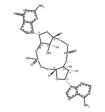 Nc1nc2c(ncn2[C@@H]2S[C@@H]3CO[PH](=O)O[C@H]4[C@H](F)[C@H](n5cnc6c(N)ncnc65)O[C@@H]4COP(=O)(S)O[C@@H]2[C@@H]3O)c(=O)[nH]1